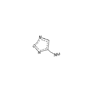 [NH]c1cnon1